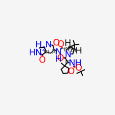 CC(C)(C)OC(=O)N[C@H](C(=O)N1C[C@H]2[C@@H]([C@H]1C(=O)N[C@@H](C[C@@H]1CCNC1=O)C(N)=O)C2(C)C)C1(C)CCCC1